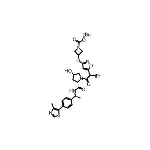 Cc1ncsc1-c1ccc([C@H](C)NC(=O)[C@@H]2C[C@@H](O)CN2C(=O)C(c2cc(OC3CN(C(=O)OC(C)(C)C)C3)no2)C(C)C)cc1